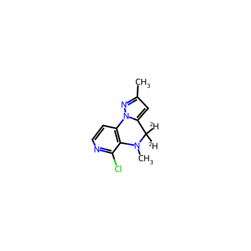 [2H]C1([2H])c2cc(C)nn2-c2ccnc(Cl)c2N1C